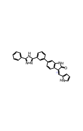 O=C1Nc2cc(-c3cccc(-c4nnc(-c5ccccc5)[nH]4)c3)ccc2/C1=C/c1ccc[nH]1